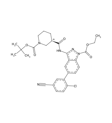 CCOC(=O)n1nc(NC(=O)[C@@H]2CCCN(C(=O)OC(C)(C)C)C2)c2cc(-c3cc(C#N)ccc3Cl)ccc21